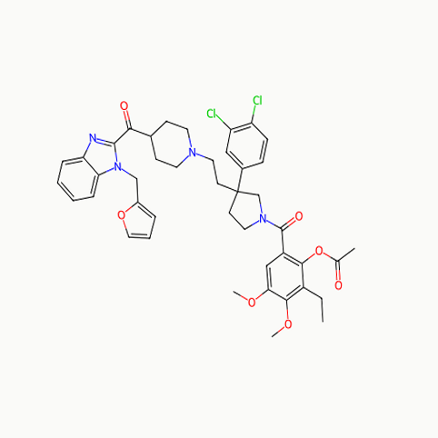 CCc1c(OC)c(OC)cc(C(=O)N2CCC(CCN3CCC(C(=O)c4nc5ccccc5n4Cc4ccco4)CC3)(c3ccc(Cl)c(Cl)c3)C2)c1OC(C)=O